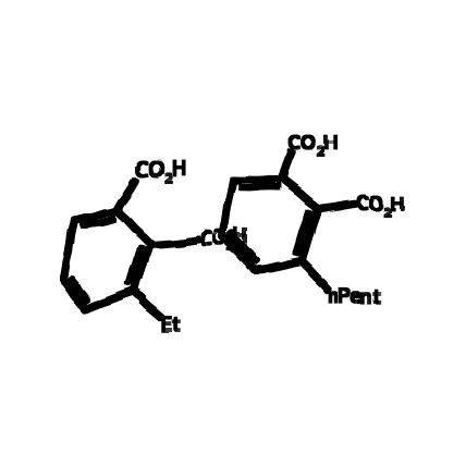 CCCCCc1cccc(C(=O)O)c1C(=O)O.CCc1cccc(C(=O)O)c1C(=O)O